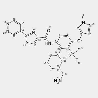 Cn1cc(Oc2ccc(NC(=O)c3csc(-c4ccnnc4)n3)c(N3CCC[C@@H](CN)C3)c2C(F)(F)F)cn1